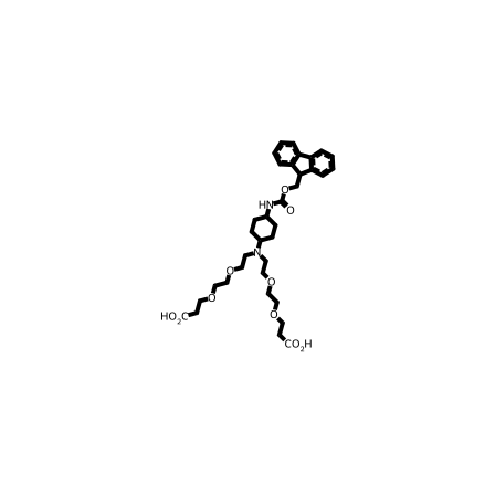 O=C(O)CCOCCOCCN(CCOCCOCCC(=O)O)C1CCC(NC(=O)OCC2c3ccccc3-c3ccccc32)CC1